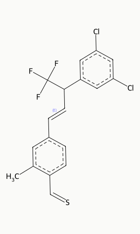 Cc1cc(/C=C/C(c2cc(Cl)cc(Cl)c2)C(F)(F)F)ccc1C=S